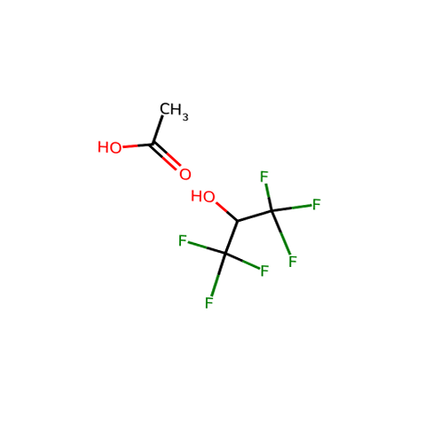 CC(=O)O.OC(C(F)(F)F)C(F)(F)F